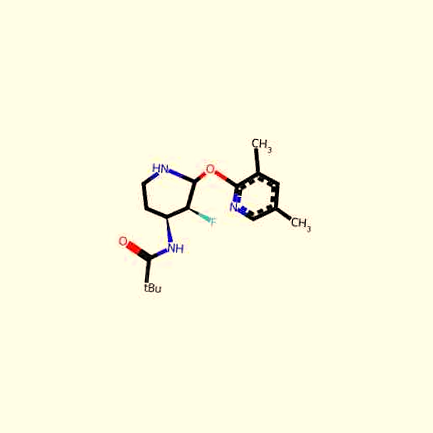 Cc1cnc(OC2NCC[C@H](NC(=O)C(C)(C)C)[C@@H]2F)c(C)c1